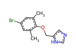 Cc1cc(Br)cc(C)c1OCc1cnc[nH]1